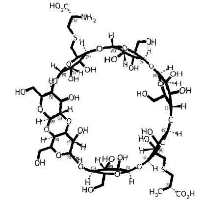 C[C@H](CSCC1C[C@@H]2C[C@@H]3C(CO)O[C@@H](O[C@@H]4C(CO)O[C@@H](O[C@@H]5C(CSC[C@@H](N)C(=O)O)O[C@@H](O[C@@H]6C(CO)O[C@@H]7O[C@@H]8C(CO)O[C@H](O[C@@H]9C(CO)O[C@H](O[C@H]1[C@H](O)C2O)C(O)[C@H]9O)[C@@H](O)C8O[C@H]7C6O)[C@@H](O)C5O)[C@@H](O)C4O)[C@@H](O)C3O)C(=O)O